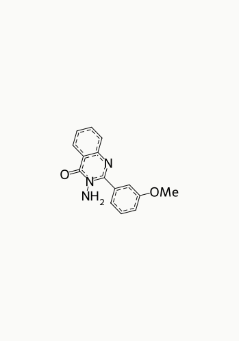 COc1cccc(-c2nc3ccccc3c(=O)n2N)c1